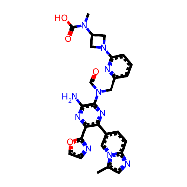 Cc1cnc2ccc(-c3nc(N(C=O)Cc4cccc(N5CC(N(C)C(=O)O)C5)n4)c(N)nc3-c3ncco3)cn12